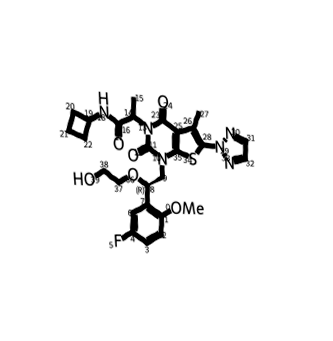 COc1ccc(F)cc1[C@H](Cn1c(=O)n(C(C)C(=O)NC2CCC2)c(=O)c2c(C)c(-n3nccn3)sc21)OCCO